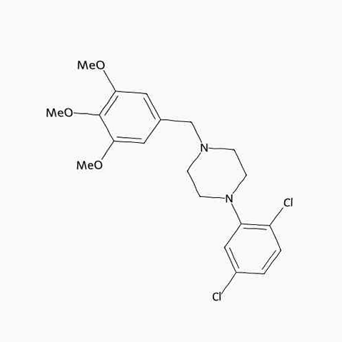 COc1cc(CN2CCN(c3cc(Cl)ccc3Cl)CC2)cc(OC)c1OC